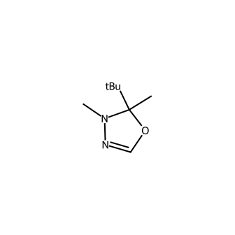 CN1N=COC1(C)C(C)(C)C